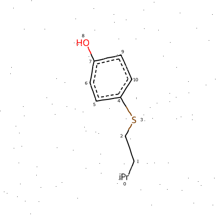 CC(C)CCSc1ccc(O)cc1